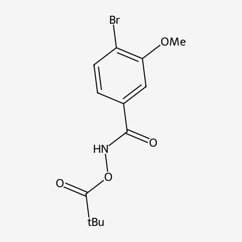 COc1cc(C(=O)NOC(=O)C(C)(C)C)ccc1Br